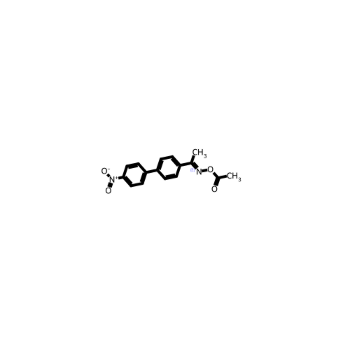 CC(=O)O/N=C(\C)c1ccc(-c2ccc([N+](=O)[O-])cc2)cc1